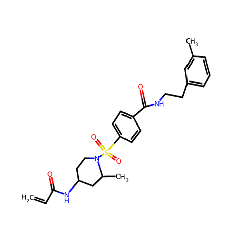 C=CC(=O)NC1CCN(S(=O)(=O)c2ccc(C(=O)NCCc3cccc(C)c3)cc2)C(C)C1